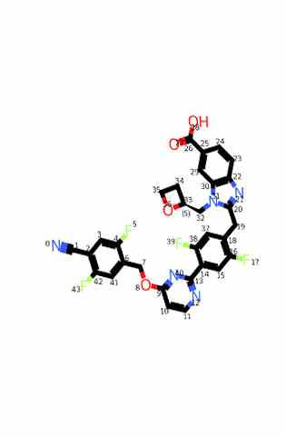 N#Cc1cc(F)c(COc2ccnc(-c3cc(F)c(Cc4nc5ccc(C(=O)O)cc5n4C[C@@H]4CCO4)cc3F)n2)cc1F